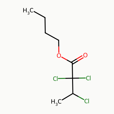 CCCCOC(=O)C(Cl)(Cl)C(C)Cl